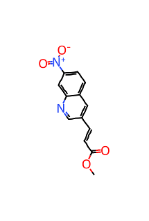 COC(=O)C=Cc1cnc2cc([N+](=O)[O-])ccc2c1